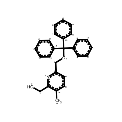 OCc1nc(COC(c2ccccc2)(c2ccccc2)c2ccccc2)ccc1C(F)(F)F